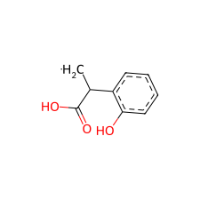 [CH2]C(C(=O)O)c1ccccc1O